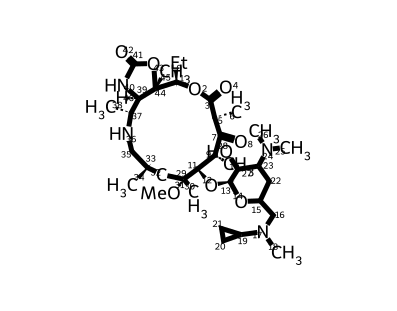 CC[C@H]1OC(=O)[C@H](C)C(=O)[C@H](C)[C@@H](O[C@@H]2OC(CN(C)C3CC3)CC(N(C)C)C2O)[C@](C)(OC)C[C@@H](C)CN[C@H](C)[C@H]2NC(=O)O[C@@]21C